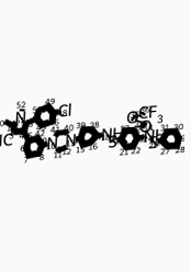 Cc1c(C#N)c(-c2cccc(N3CCN(c4ccc(NSc5ccc(NSc6ccccc6)c(S(=O)(=O)C(F)(F)F)c5)cc4)CC3)c2)c(-c2ccc(Cl)cc2)n1C